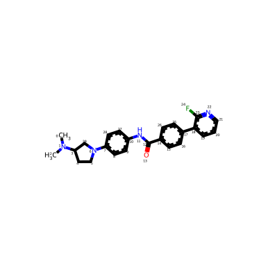 CN(C)C1CCN(c2ccc(NC(=O)c3ccc(-c4cccnc4F)cc3)cc2)C1